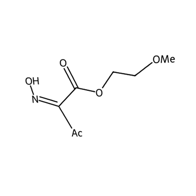 COCCOC(=O)/C(=N\O)C(C)=O